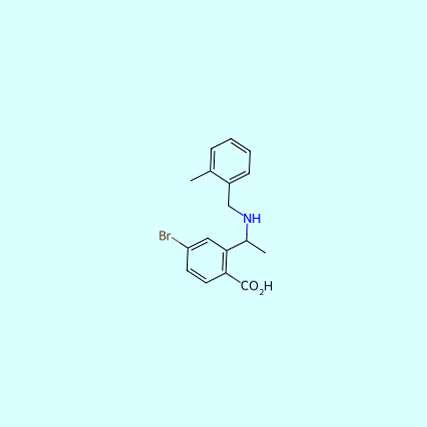 Cc1ccccc1CNC(C)c1cc(Br)ccc1C(=O)O